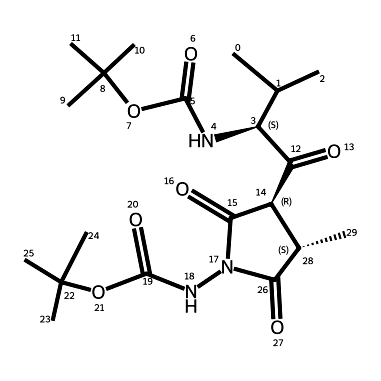 CC(C)[C@H](NC(=O)OC(C)(C)C)C(=O)[C@@H]1C(=O)N(NC(=O)OC(C)(C)C)C(=O)[C@H]1C